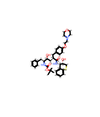 CC(C)(C)OC(=O)N[C@@H](Cc1ccccc1)[C@@H](O)C[C@@H](Cc1ccc(OCCN2CCOCC2)cc1)C(=O)N[C@H]1c2ccccc2SC[C@H]1O